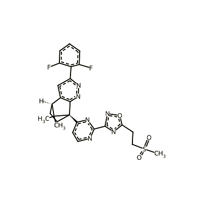 CC1(C)[C@H]2CC[C@@]1(c1ccnc(-c3noc(CCS(C)(=O)=O)n3)n1)c1nnc(-c3c(F)cccc3F)cc12